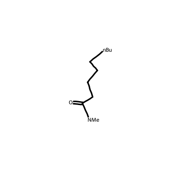 [CH2]NC(=O)CCCCCCCC